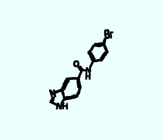 O=C(Nc1ccc(Br)cc1)c1ccc2[nH]cnc2c1